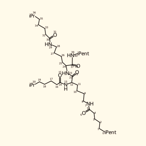 CCCC(C)CCCCC(=O)NCCCCC(NC(=O)CCCCC(C)C)C(=O)NC(CCCCNC(=O)CCCCC(C)C)C(=O)NC(C)CCC